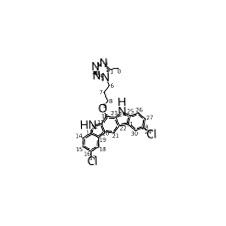 Cc1nnnn1CCCOc1c2[nH]c3ccc(Cl)cc3c2cc2c1[nH]c1ccc(Cl)cc12